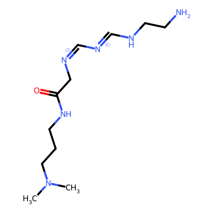 CN(C)CCCNC(=O)C/N=C\N=C\NCCN